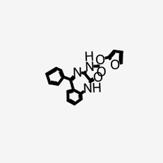 O=C(NC1N=C(c2ccccc2)c2ccccc2NC1=O)Oc1ccco1